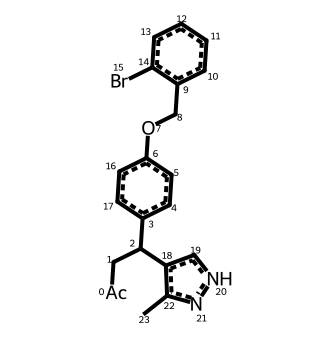 CC(=O)CC(c1ccc(OCc2ccccc2Br)cc1)c1c[nH]nc1C